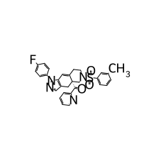 Cc1cccc(S(=O)(=O)N2CCC3=Cc4c(cnn4-c4ccc(F)cc4)C[C@]3(C(=O)c3ccccn3)C2)c1